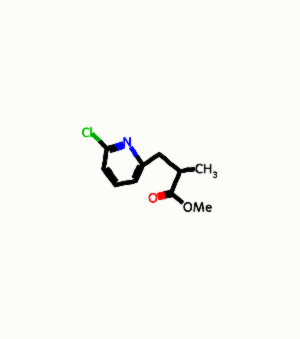 COC(=O)C(C)Cc1cccc(Cl)n1